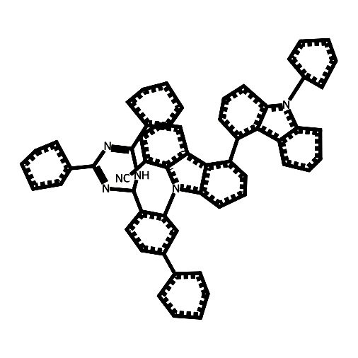 N#Cc1cccc2c3c(-c4cccc5c4c4ccccc4n5-c4ccccc4)cccc3n(-c3cc(-c4ccccc4)ccc3C3N=C(c4ccccc4)N=C(c4ccccc4)N3)c12